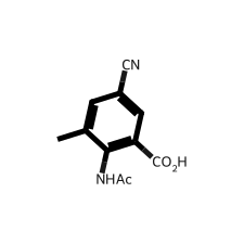 CC(=O)Nc1c(C)cc(C#N)cc1C(=O)O